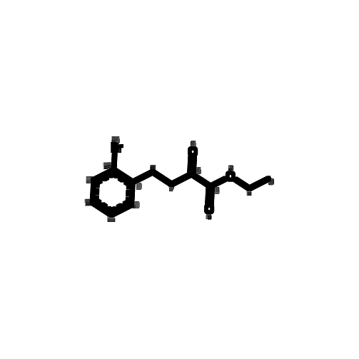 CCOC(=O)C(=O)CCc1ccccc1Br